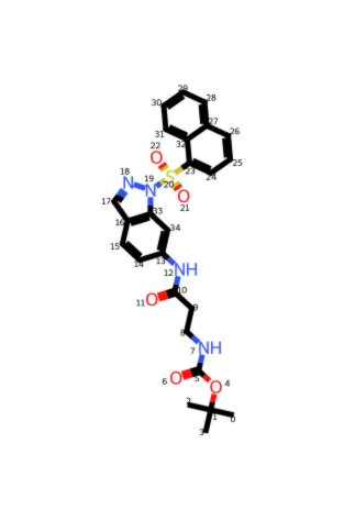 CC(C)(C)OC(=O)NCCC(=O)Nc1ccc2cnn(S(=O)(=O)c3cccc4ccccc34)c2c1